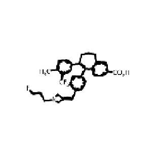 Cc1ccc(C2=C(c3ccc(C=C4CN(CCCF)C4)cc3)c3ccc(C(=O)O)cc3CCC2)cc1C(F)(F)F